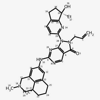 C=CCn1c(=O)c2cnc(Nc3cc4c5c(c3)CN(C)C[C@@]5(C)CCC4)nc2n1-c1ccc2c(n1)[C@@](O)(CC)CC2